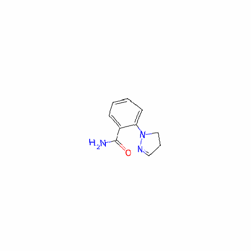 NC(=O)c1ccccc1N1CCC=N1